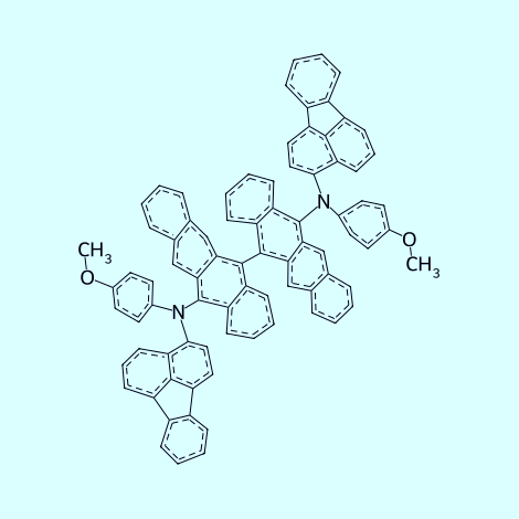 COc1ccc(N(c2c3ccccc3c(-c3c4ccccc4c(N(c4ccc(OC)cc4)c4ccc5c6c(cccc46)-c4ccccc4-5)c4cc5ccccc5cc34)c3cc4ccccc4cc23)c2ccc3c4c(cccc24)-c2ccccc2-3)cc1